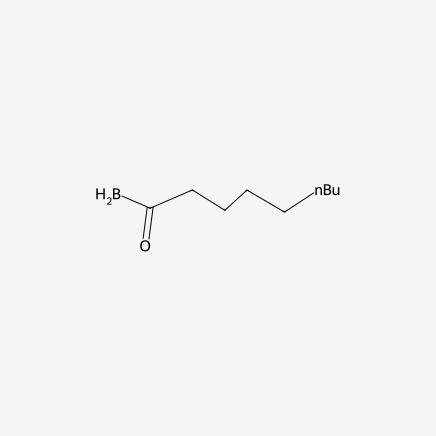 BC(=O)CCCCCCCC